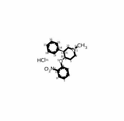 CN1CC[C@@H](Oc2ccccc2[N+](=O)[O-])[C@@H](c2ccccc2)C1.Cl